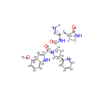 C/N=C\[C@H](C[C@@H]1CCNC1=O)NC(=O)[C@@H]1C[C@@H](c2ccccn2)CN1C(=O)c1cc2c(OC)cccc2[nH]1